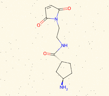 N[C@@H]1CC[C@@H](C(=O)NCCN2C(=O)C=CC2=O)C1